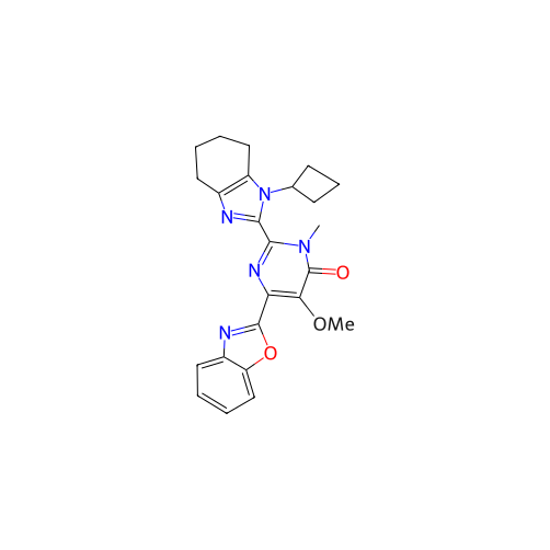 COc1c(-c2nc3ccccc3o2)nc(-c2nc3c(n2C2CCC2)CCCC3)n(C)c1=O